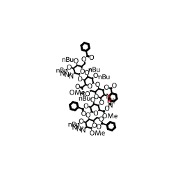 CCCCOC1C(OCCCC)[C@H](O[C@H]2OC(COC(=O)c3ccccc3)[C@H](OCCCC)C(OCCCC)[C@H]2N=[N+]=[N-])C(C(=O)OC)O[C@H]1O[C@@H]1C(CO)OC(O[C@H]2C(C(=O)OC)O[C@@H](O[C@@H]3C(COC(=O)c4ccccc4)O[C@H](OC)C(N=[N+]=[N-])C3OCCCC)C(OC(=O)c3ccccc3)C2OCCCC)C(N=[N+]=[N-])C1OC(=O)c1ccccc1